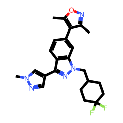 Cc1noc(C)c1-c1ccc2c(-c3cnn(C)c3)nn(CC3CCC(F)(F)CC3)c2c1